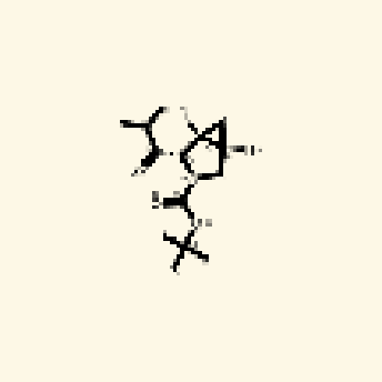 CC(C)C(=O)[C@@H]1[C@@H]2C[C@@H]2CN1C(=O)OC(C)(C)C